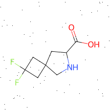 O=C(O)C1CC2(CN1)CC(F)(F)C2